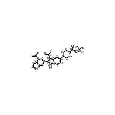 C=C(C)c1cc(-c2[nH]c3ccc(C4CCN(C(=O)OC(C)(C)C)CC4)cc3c2C(C)C)cn2ncnc12